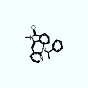 CC(c1ccccc1)N1c2cccc3c2C(=Cc2cccnc21)N(C)C3=O